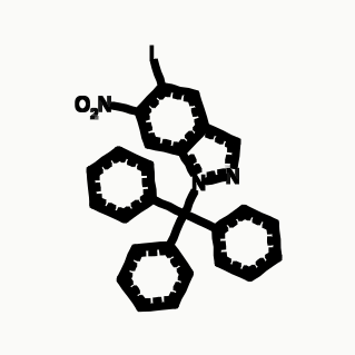 O=[N+]([O-])c1cc2c(cnn2C(c2ccccc2)(c2ccccc2)c2ccccc2)cc1I